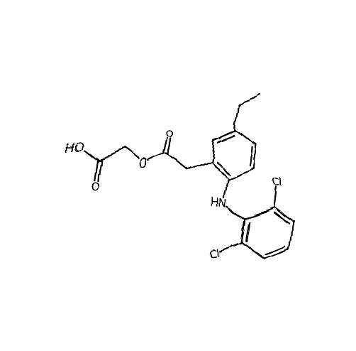 CCc1ccc(Nc2c(Cl)cccc2Cl)c(CC(=O)OCC(=O)O)c1